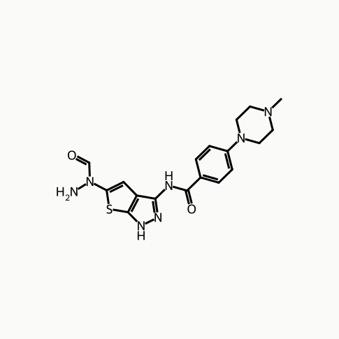 CN1CCN(c2ccc(C(=O)Nc3n[nH]c4sc(N(N)C=O)cc34)cc2)CC1